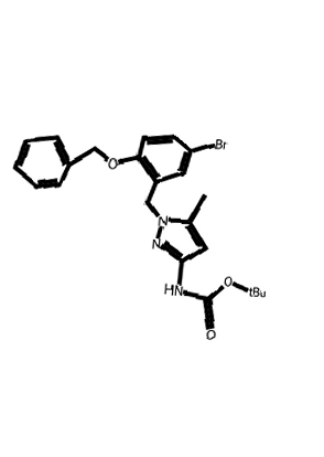 Cc1cc(NC(=O)OC(C)(C)C)nn1Cc1cc(Br)ccc1OCc1ccccc1